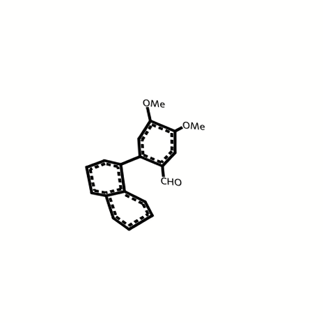 COc1cc(C=O)c(-c2cccc3ccccc23)cc1OC